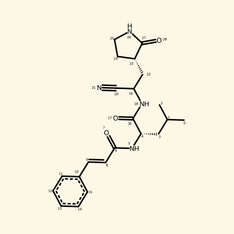 CC(C)C[C@H](NC(=O)/C=C/c1ccccc1)C(=O)NC(C#N)C[C@@H]1CCNC1=O